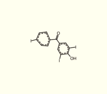 O=C(c1ccc(I)cc1)c1cc(I)c(O)c(I)c1